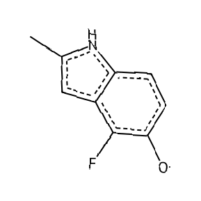 Cc1cc2c(F)c([O])ccc2[nH]1